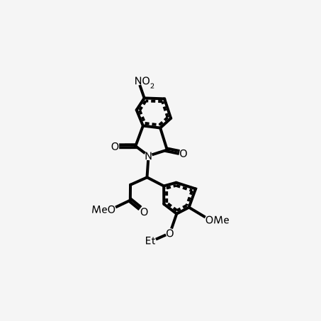 CCOc1cc(C(CC(=O)OC)N2C(=O)c3ccc([N+](=O)[O-])cc3C2=O)ccc1OC